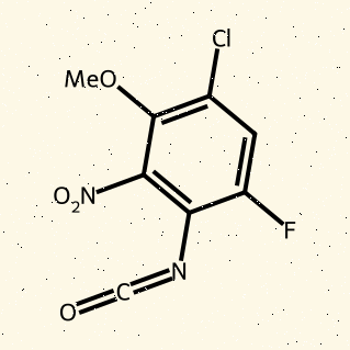 COc1c(Cl)cc(F)c(N=C=O)c1[N+](=O)[O-]